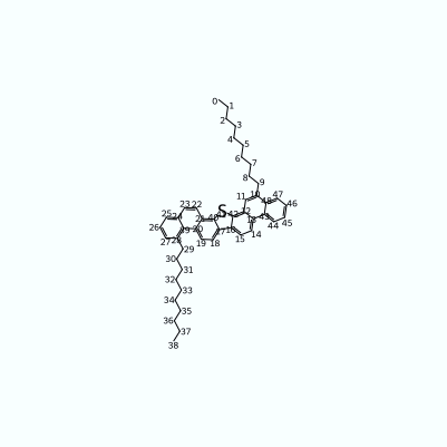 CCCCCCCCCCc1cc2c(ccc3c4ccc5c(ccc6cccc(CCCCCCCCCC)c65)c4sc23)c2ccccc12